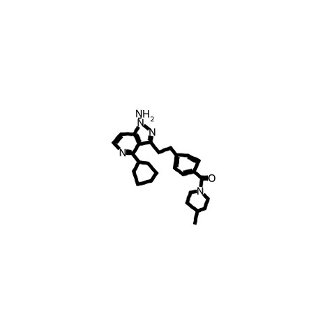 CC1CCN(C(=O)c2ccc(CCc3nn(N)c4ccnc(C5CCCCC5)c34)cc2)CC1